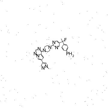 Cn1cc(-c2cc3c(N4CCN(c5ncc(C(C)(F)c6ccc(P)cc6)cn5)CC4)ncnn3c2)cn1